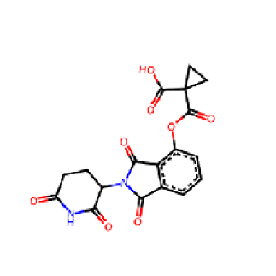 O=C1CCC(N2C(=O)c3cccc(OC(=O)C4(C(=O)O)CC4)c3C2=O)C(=O)N1